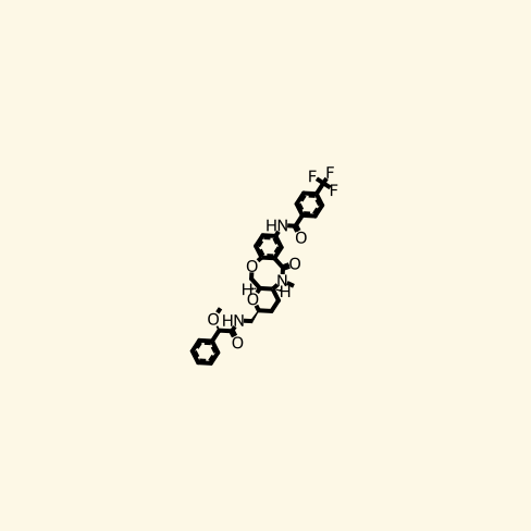 CO[C@H](C(=O)NC[C@@H]1CC[C@H]2[C@H](COc3ccc(NC(=O)c4ccc(C(F)(F)F)cc4)cc3C(=O)N2C)O1)c1ccccc1